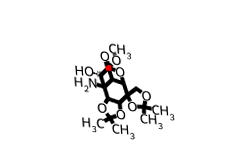 COCC1C2OC(=O)[C@@H](O)C1(N)C1OC(C)(C)OC1C21COC(C)(C)O1